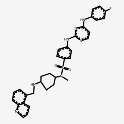 CN(C1CCC(NCc2cccc3ncccc23)CC1)S(=O)(=O)c1ccc(Nc2nccc(Nc3ccc(F)cc3)n2)cc1